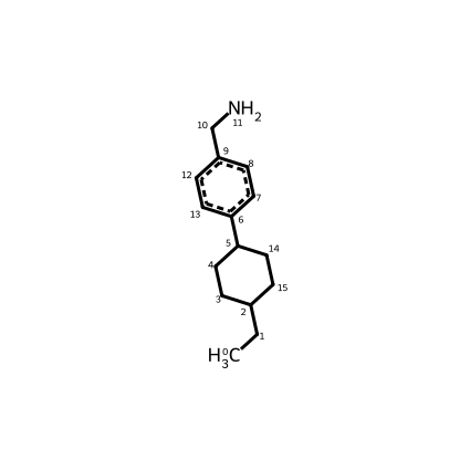 CCC1CCC(c2ccc(CN)cc2)CC1